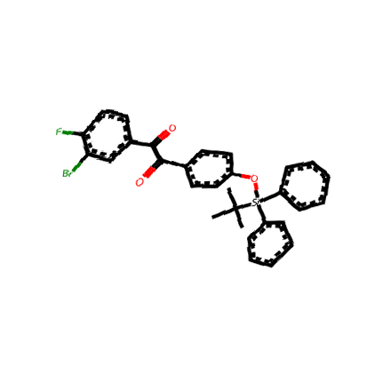 CC(C)(C)[Si](Oc1ccc(C(=O)C(=O)c2ccc(F)c(Br)c2)cc1)(c1ccccc1)c1ccccc1